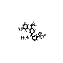 COC(=O)c1cccc(/C=C2\CC[C@H](CN(C)C)[C@@H](c3cccc(OC)c3)C2)c1.Cl